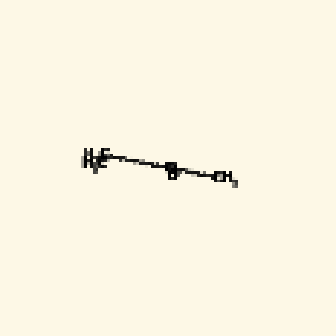 CCCCC=CCCCCCCCC(=O)OCCCCCCCCCCCCCCCCCCC(C)CC